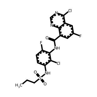 CCCS(=O)(=O)Nc1ccc(F)c(NC(=O)c2cc(F)cc3c(Cl)ncnc23)c1Cl